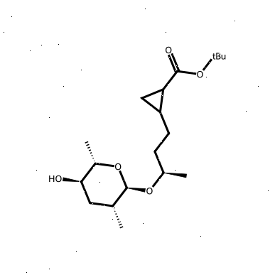 C[C@H](CCC1CC1C(=O)OC(C)(C)C)O[C@@H]1O[C@@H](C)[C@H](O)C[C@H]1C